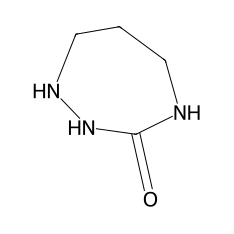 O=C1NCCCNN1